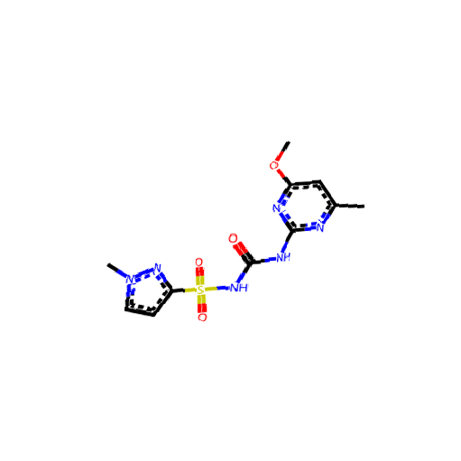 COc1cc(C)nc(NC(=O)NS(=O)(=O)c2ccn(C)n2)n1